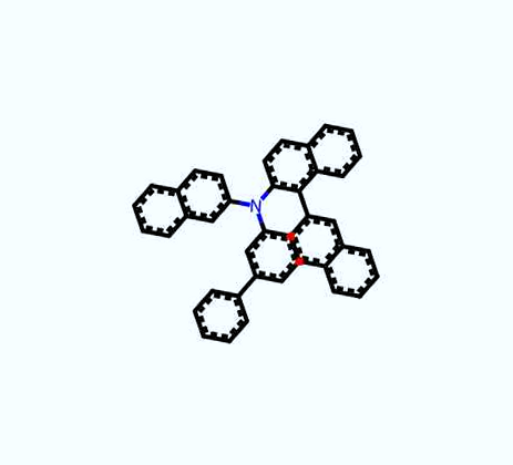 c1ccc(-c2cccc(N(c3ccc4ccccc4c3)c3ccc4ccccc4c3-c3ccc4ccccc4c3)c2)cc1